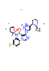 CC(=O)N1CCCC1c1cn(-c2ncn3c2c(=O)n(C2(C)CCCO2)c2cc(F)ccc23)nn1